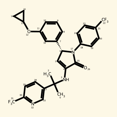 CC(C)(NC1=C[C@H](c2cccc(OC3CC3)c2)N(c2ccc(C(F)(F)F)cc2)C1=O)c1ccc(C(F)(F)F)nc1